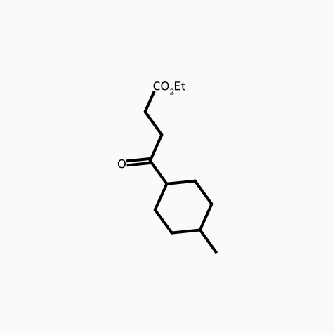 CCOC(=O)CCC(=O)C1CCC(C)CC1